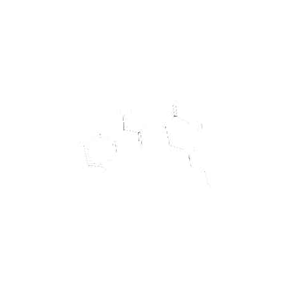 CCCCSCC(OC(=O)C(O)c1ccccc1)C(=O)O